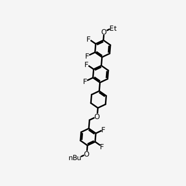 CCCCOc1ccc(COC2CC=C(c3ccc(-c4ccc(OCC)c(F)c4F)c(F)c3F)CC2)c(F)c1F